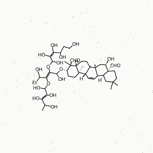 CCC(O)/C(OC(O)/C(O)=C(\O)C(C)O)=C(\OC(O)/C(O)=C(/O)C(O)CCO)C(O)O[C@H]1CC[C@]2(C)[C@H]3C=CC4[C@@H]5CC(C)(C)CC[C@]5(C=O)[C@H](O)C[C@@]4(C)[C@]3(C)CC[C@H]2[C@]1(C)C=O